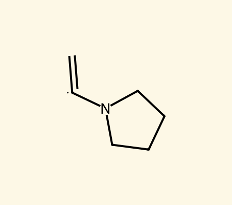 C=[C]N1CCCC1